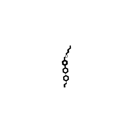 C=CC[C@H]1CC[C@H](C2CCC(c3ccc(COC/C=C/CC)cc3)CC2)CC1